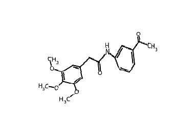 COc1cc(CC(=O)Nc2cccc(C(C)=O)c2)cc(OC)c1OC